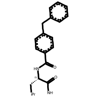 CC(C)C[C@H](NC(=O)c1ccc(Cc2ccccc2)cc1)C([NH])=O